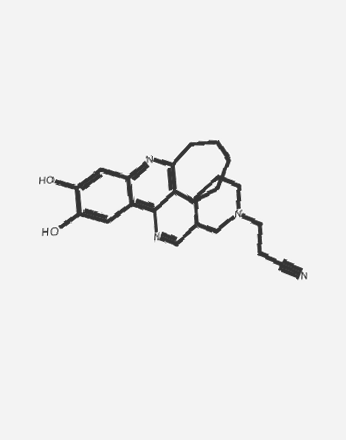 N#CCCN1CCCC(/C=N\c2c3c(nc4cc(O)c(O)cc24)CCCCC3)C1